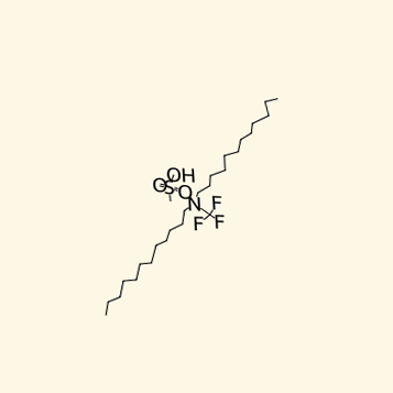 CCCCCCCCCCCCN(CCCCCCCCCCCC)C(F)(F)F.CS(=O)(=O)O